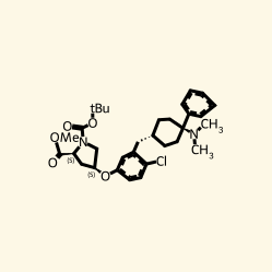 COC(=O)[C@@H]1C[C@H](Oc2ccc(Cl)c(C[C@H]3CC[C@](c4ccccc4)(N(C)C)CC3)c2)CN1C(=O)OC(C)(C)C